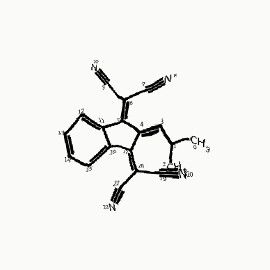 CC(C)C=C1C(=C(C#N)C#N)c2ccccc2C1=C(C#N)C#N